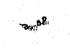 Cc1ccc2c3c(ccc2n1)OC[C@H](CN[C@@H]1CC[C@@H](c2c[nH]c4ccccc24)C1)O3